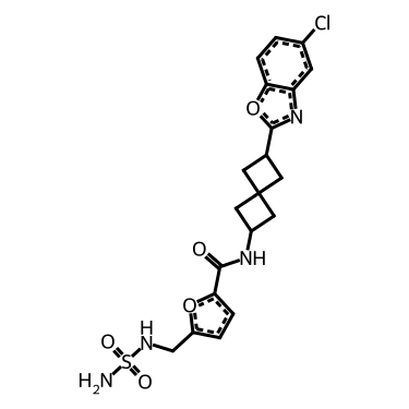 NS(=O)(=O)NCc1ccc(C(=O)NC2CC3(C2)CC(c2nc4cc(Cl)ccc4o2)C3)o1